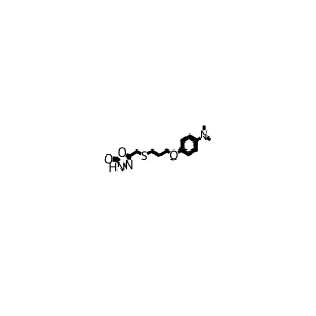 CN(C)c1ccc(OCCCSCc2n[nH]c(=O)o2)cc1